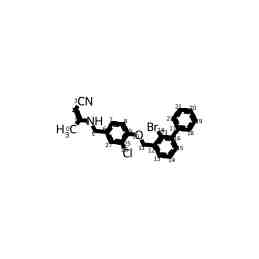 C/C(=C/C#N)NCc1ccc(OCc2cccc(-c3ccccc3)c2Br)c(Cl)c1